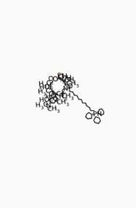 CC[C@H]1OC(=O)[C@H](C)[C@@H](O)[C@H](C)[C@@H](O[C@@H]2O[C@H](C)C[C@H](N(C)C)[C@H]2O)[C@](C)(O)C[C@@H](C)CN(C(=O)CCCCCCCCCCCC[PH](C2CCCCC2)(C2CCCCC2)C2CCCCC2)[C@H](C)[C@@H](O)[C@]1(C)O